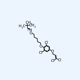 CC(C)(C)/C=N/OCCCCCOc1c(Cl)cc(OCC=C(Cl)Cl)cc1Cl